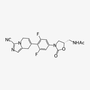 CC(=O)NC[C@H]1CN(c2cc(F)c(C3=CCn4c(cnc4C#N)C3)c(F)c2)C(=O)O1